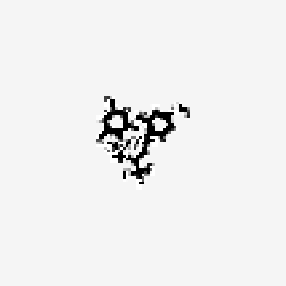 COc1ccc(NCC(NS(=O)(=O)c2c(C)cc(C)cc2C)C(F)(F)F)c(C)c1